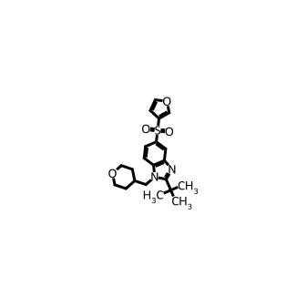 CC(C)(C)c1nc2cc(S(=O)(=O)c3ccoc3)ccc2n1CC1CCOCC1